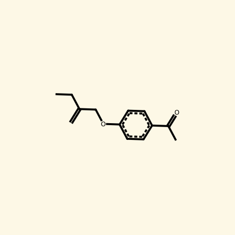 C=C(CC)COc1ccc(C(C)=O)cc1